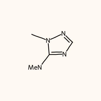 CNc1ncnn1C